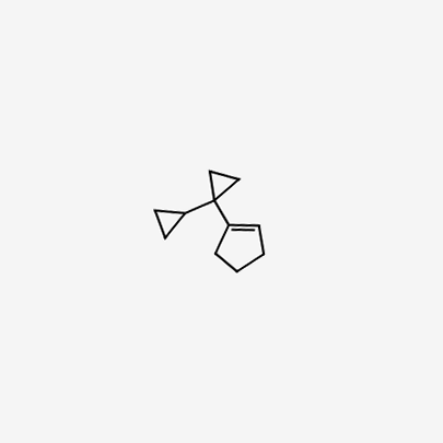 C1=C(C2(C3CC3)CC2)CCC1